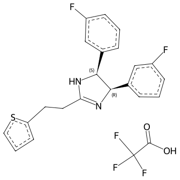 Fc1cccc([C@H]2N=C(CCc3cccs3)N[C@H]2c2cccc(F)c2)c1.O=C(O)C(F)(F)F